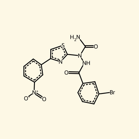 NC(=O)N(NC(=O)c1cccc(Br)c1)c1nc(-c2cccc([N+](=O)[O-])c2)cs1